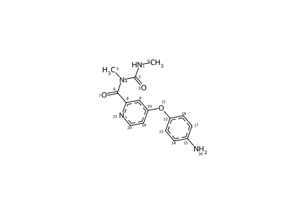 CNC(=O)N(C)C(=O)c1cc(Oc2ccc(N)cc2)ccn1